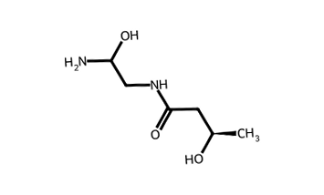 C[C@@H](O)CC(=O)NCC(N)O